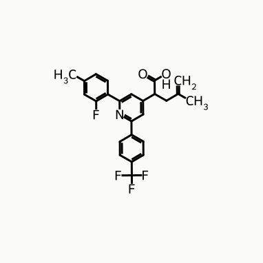 C=C(C)CC(C(=O)O)c1cc(-c2ccc(C(F)(F)F)cc2)nc(-c2ccc(C)cc2F)c1